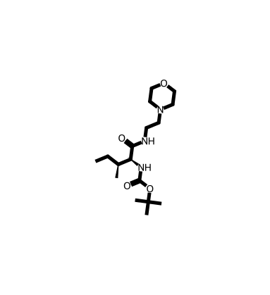 CC[C@H](C)[C@H](NC(=O)OC(C)(C)C)C(=O)NCCN1CCOCC1